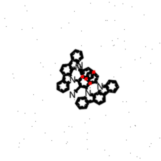 N#Cc1ccc(-n2c3ccccc3c3ccc4c5ccccc5n(-c5ccccc5)c4c32)c(C#N)c1-n1c2ccccc2c2ccc3c4ccccc4n(-c4ccccc4)c3c21